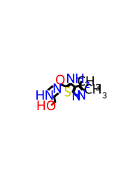 Cc1nnc2sc(C(=O)N3CCNC(CO)C3)c(N)c2c1C